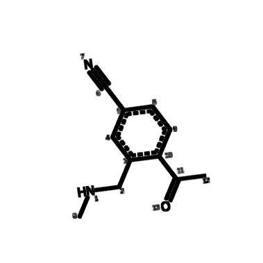 CNCc1cc(C#N)ccc1C(C)=O